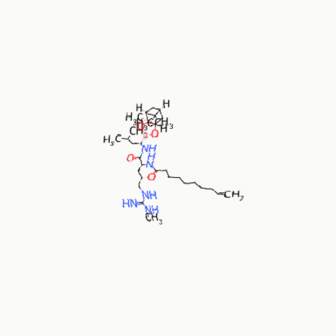 C=CCCCCCCCC(=O)N[C@@H](CCCNC(=N)NC)C(=O)N[C@@H](CC(C)C)B1O[C@@H]2C[C@@H]3C[C@@H](C3(C)C)[C@]2(C)O1